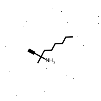 C#CC(C)(N)CCCCCC